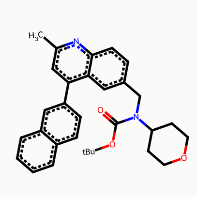 Cc1cc(-c2ccc3ccccc3c2)c2cc(CN(C(=O)OC(C)(C)C)C3CCOCC3)ccc2n1